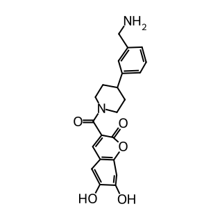 NCc1cccc(C2CCN(C(=O)c3cc4cc(O)c(O)cc4oc3=O)CC2)c1